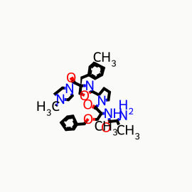 Cc1cccc(C[C@]2(C(=O)N3CCN(C)CC3)COC(C3CCCN3C(=O)C(NC(=O)C(C)N)C(C)OCc3ccccc3)=N2)c1